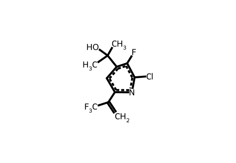 C=C(c1cc(C(C)(C)O)c(F)c(Cl)n1)C(F)(F)F